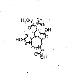 CCC(=O)N(CCC1CN(CC(=O)O)CCN(CC(=O)O)CCN1CC(=O)O)C(C)=O